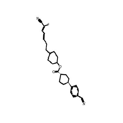 N#CC(F)=C/C=C/CCC1CCC(OC(=O)[C@H]2CC[C@H](c3ccc(C#N)cc3)CC2)CC1